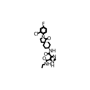 CCNC(=O)c1[nH]cnc1C(=O)N[C@H]1CC[C@@]2(CCN(c3ccc(F)cc3Cl)C2=O)CC1